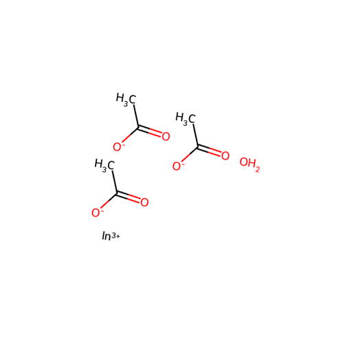 CC(=O)[O-].CC(=O)[O-].CC(=O)[O-].O.[In+3]